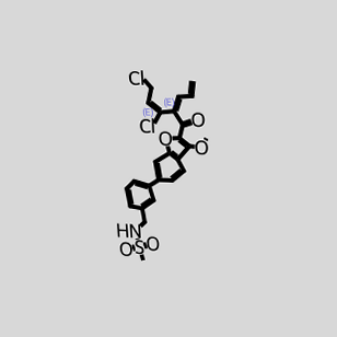 C=C/C=C(C(=O)c1oc2cc(-c3cccc(CNS(C)(=O)=O)c3)ccc2c1OC)/C(Cl)=C\CCl